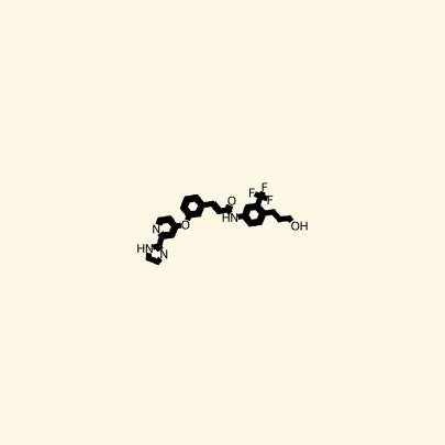 O=C(C=Cc1cccc(Oc2ccnc(C3=NCCN3)c2)c1)Nc1ccc(CCCO)c(C(F)(F)F)c1